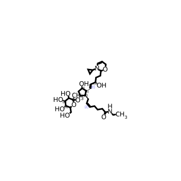 CCNC(=O)CCC/C=C\C[C@@H]1[C@@H](/C=C/[C@@H](O)CCC2OCC=CN2C2CC2)[C@H](O)C[C@@H]1O[C@@]1(C)OC(CO)[C@@H](O)[C@@H](O)C1O